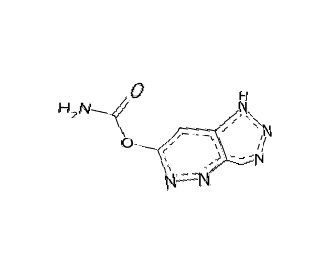 NC(=O)Oc1cc2[nH]nnc2nn1